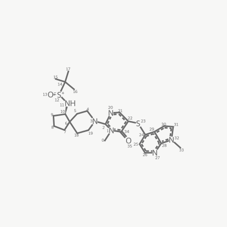 Cn1c(N2CCC3(CCC[C@H]3N[S@+]([O-])C(C)(C)C)CC2)ncc(Sc2ccnc3c2ccn3C)c1=O